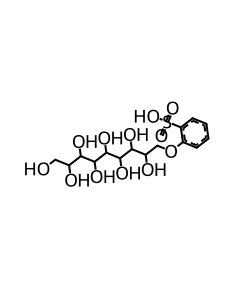 O=S(=O)(O)c1ccccc1OCC(O)C(O)C(O)C(O)C(O)C(O)C(O)CO